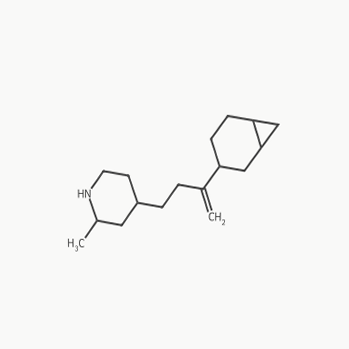 C=C(CCC1CCNC(C)C1)C1CCC2CC2C1